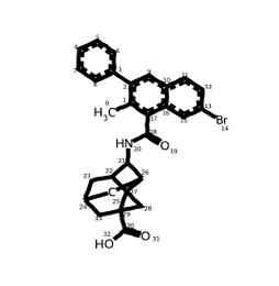 Cc1c(-c2ccccc2)cc2ccc(Br)cc2c1C(=O)NC1C2CC3CC1C21CC1(C(=O)O)C3